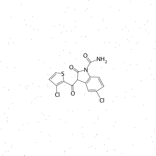 NC(=O)N1C(=O)C(C(=O)c2sccc2Cl)c2cc(Cl)ccc21